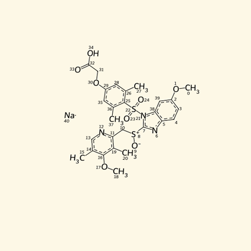 COc1ccc2nc([S+]([O-])Cc3ncc(C)c(OC)c3C)n(S(=O)(=O)c3c(C)cc(OCC(=O)O)cc3C)c2c1.[Na]